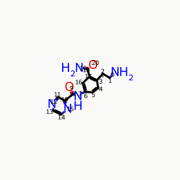 NC[CH]c1ccc(NC(=O)c2cnccn2)cc1C(N)=O